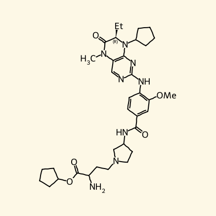 CC[C@@H]1C(=O)N(C)c2cnc(Nc3ccc(C(=O)NC4CCN(CCC(N)C(=O)OC5CCCC5)C4)cc3OC)nc2N1C1CCCC1